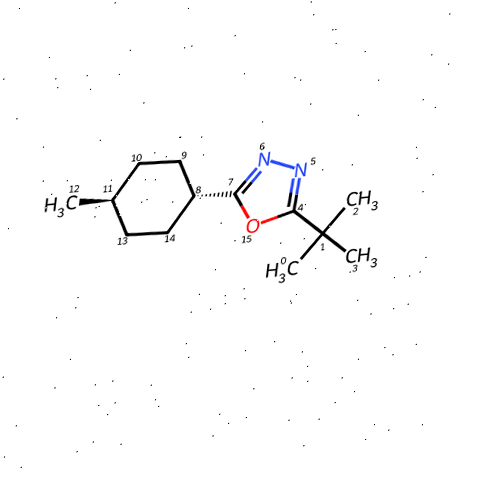 CC(C)(C)c1nnc([C@H]2CC[C@H](C)CC2)o1